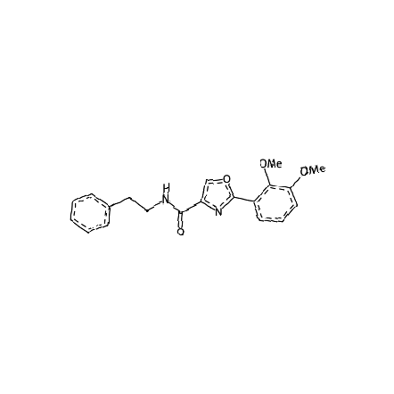 COc1cccc(-c2nc(C(=O)NCCc3ccccc3)co2)c1OC